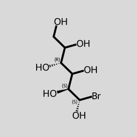 OCC(O)[C@@H](O)C(O)[C@H](O)[C@@H](O)Br